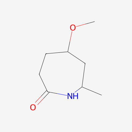 COC1CCC(=O)NC(C)C1